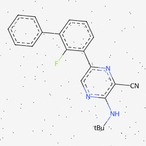 CC(C)(C)Nc1ncc(-c2cccc(-c3ccccc3)c2F)nc1C#N